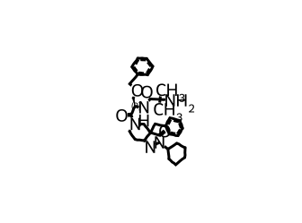 CC(C)(N)C(=O)N[C@H](COCc1ccccc1)C(=O)N1CCC2=NN(C3CCCCC3)C(=O)C2(Cc2ccccc2)C1